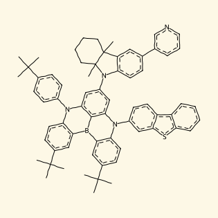 CC(C)(C)c1ccc(N2c3ccc(C(C)(C)C)cc3B3c4cc(C(C)(C)C)ccc4N(c4ccc5c(c4)sc4ccccc45)c4cc(N5c6ccc(-c7cccnc7)cc6C6(C)CCCCC56C)cc2c43)cc1